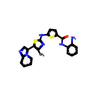 Cc1nc(Nc2ccc(C(=O)Nc3ccccc3N)s2)sc1-c1cnc2ccccn12